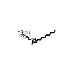 CCCCCCCCCCC(C)NCCOP(=O)(O)O